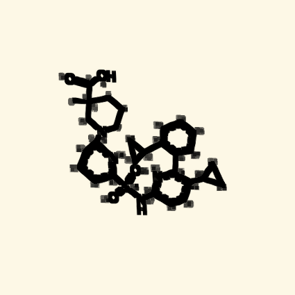 C[C@@]1(C(=O)O)CCCN(c2cccc(S(=O)(=O)Nc3ccc(C4CC4)c(-c4ccccc4C4CC4)n3)n2)C1